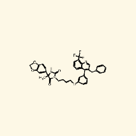 CC1(c2ccc3c(c2)OCO3)NC(=O)N(CCCCOc2cccc(-c3c(Cc4ccccc4)cnc4c(C(F)(F)F)cccc34)c2)C1=O